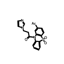 CC(=O)c1ccc2c(c1)N(C(=O)CCn1ccnc1)c1ccccc1S2(=O)=O